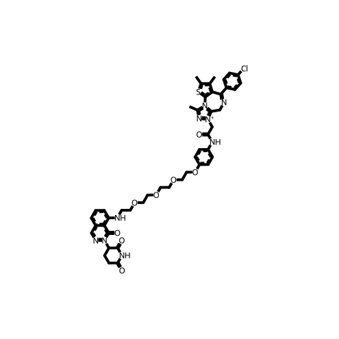 Cc1sc2c(c1C)C(c1ccc(Cl)cc1)=NCc1n-2c(C)n[n+]1CC(=O)Nc1ccc(OCCOCCOCCOCCNc2cccc3cnn(C4CCC(=O)NC4=O)c(=O)c23)cc1